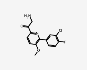 COc1ccc(C(=O)CN)nc1-c1ccc(F)c(Cl)c1